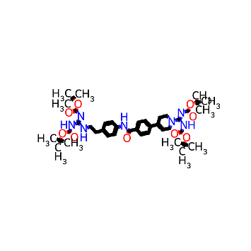 CC(C)(C)OC(=O)N=C(NCCc1ccc(NC(=O)c2ccc(C3=CCN(C(=NC(=O)OC(C)(C)C)NC(=O)OC(C)(C)C)CC3)cc2)cc1)NC(=O)OC(C)(C)C